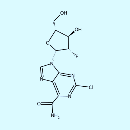 NC(=O)c1nc(Cl)nc2c1ncn2[C@@H]1O[C@H](CO)[C@@H](O)[C@@H]1F